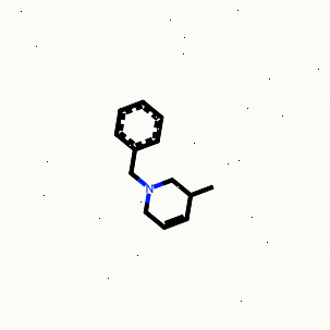 CC1C=CCN(Cc2ccccc2)C1